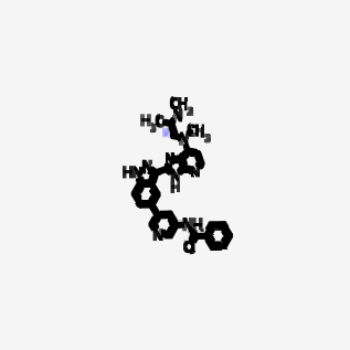 C=N/C(C)=C\N(C)c1ccnc2[nH]c(-c3n[nH]c4ccc(-c5cncc(NC(=O)c6ccccc6)c5)cc34)nc12